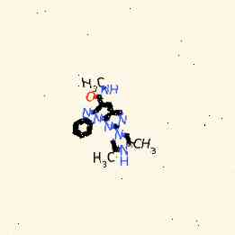 CNC(=O)c1cc2cnc(N3C[C@@H](C)N[C@@H](C)C3)nc2n2c1nc1ccccc12